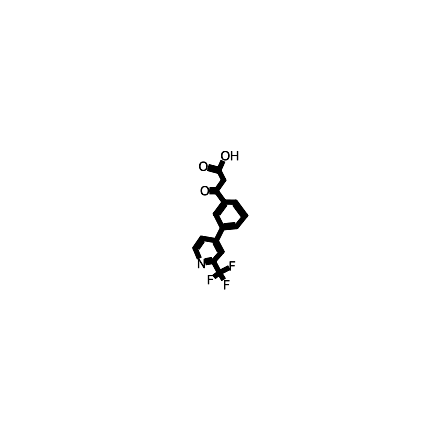 O=C(O)CC(=O)c1cccc(-c2ccnc(C(F)(F)F)c2)c1